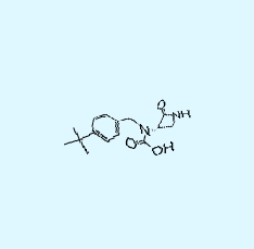 CC(C)(C)c1ccc(CN(C(=O)O)[C@H]2CNC2=O)cc1